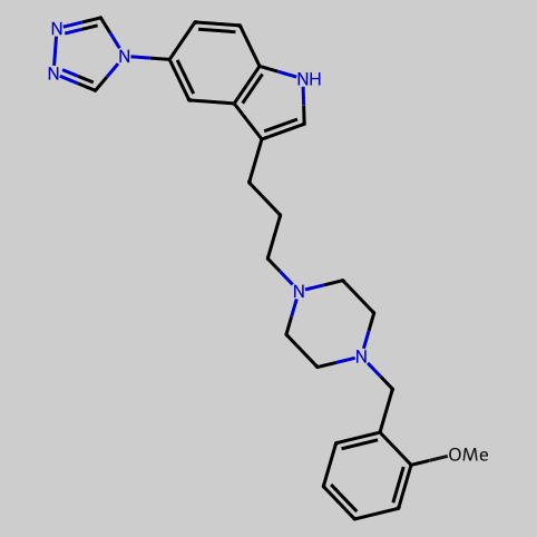 COc1ccccc1CN1CCN(CCCc2c[nH]c3ccc(-n4cnnc4)cc23)CC1